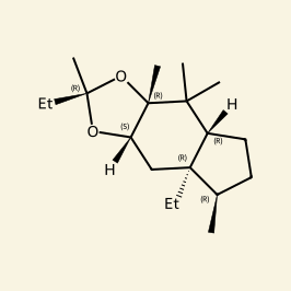 CC[C@]1(C)O[C@H]2C[C@]3(CC)[C@H](C)CC[C@H]3C(C)(C)[C@@]2(C)O1